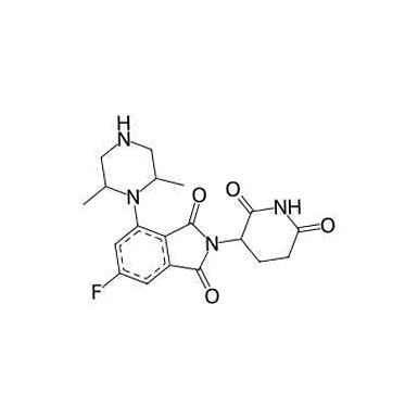 CC1CNCC(C)N1c1cc(F)cc2c1C(=O)N(C1CCC(=O)NC1=O)C2=O